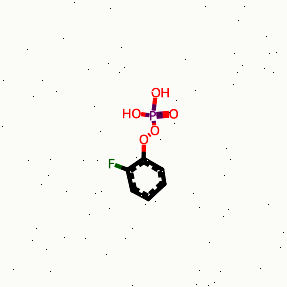 O=P(O)(O)OOc1ccccc1F